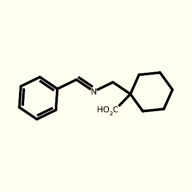 O=C(O)C1(CN=Cc2ccccc2)CCCCC1